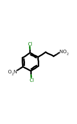 O=[N+]([O-])CCc1cc(Cl)c([N+](=O)[O-])cc1Cl